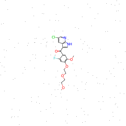 COCCOCCOc1cc(F)c(C(=O)c2c[nH]c3ncc(Cl)cc23)cc1OC